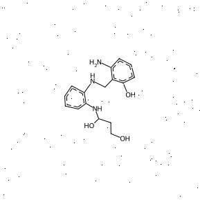 Nc1cccc(O)c1CNc1ccccc1NC(O)CCO